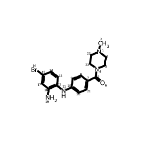 CN1CCN(C(=O)c2ccc(Nc3ccc(Br)cc3N)cc2)CC1